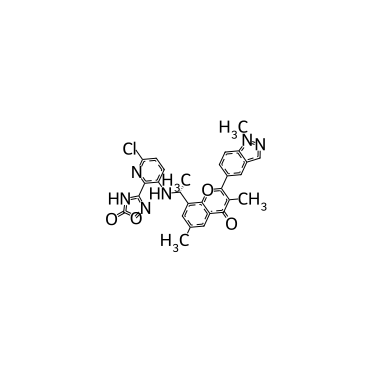 Cc1cc([C@@H](C)Nc2ccc(Cl)nc2-c2noc(=O)[nH]2)c2oc(-c3ccc4c(cnn4C)c3)c(C)c(=O)c2c1